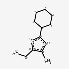 Cc1nc(C2CCCCC2)sc1CO